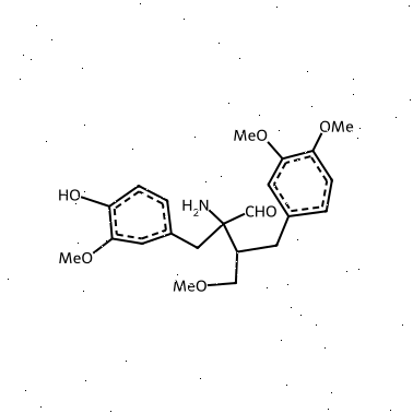 COCC(Cc1ccc(OC)c(OC)c1)C(N)(C=O)Cc1ccc(O)c(OC)c1